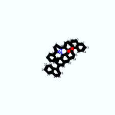 c1ccc(-c2ccc(-c3ccccc3)n2-c2c3ccc(-c4cccc5ccccc45)cc3cc3ccc(-c4cccc5ccccc45)cc23)cc1